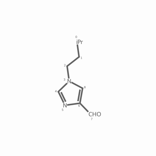 CC(C)CCn1cnc(C=O)c1